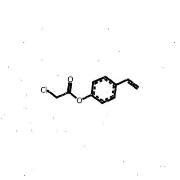 C=Cc1ccc(OC(=O)CCl)cc1